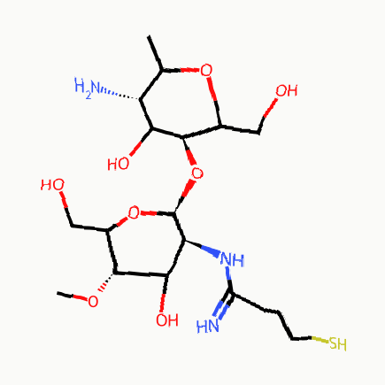 CO[C@@H]1C(CO)O[C@@H](O[C@@H]2C(CO)OC(C)[C@@H](N)C2O)[C@@H](NC(=N)CCS)C1O